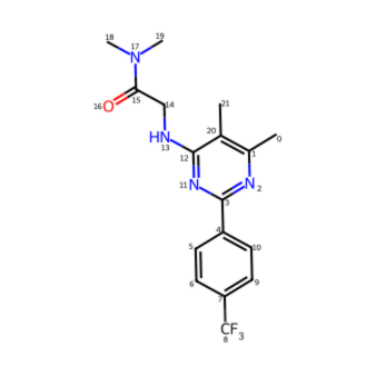 Cc1nc(-c2ccc(C(F)(F)F)cc2)nc(NCC(=O)N(C)C)c1C